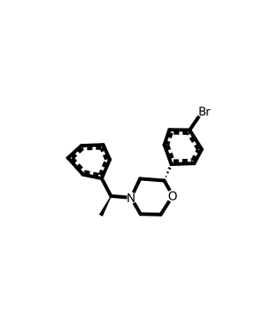 C[C@@H](c1ccccc1)N1CCO[C@@H](c2ccc(Br)cc2)C1